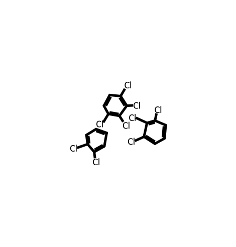 Clc1ccc(Cl)c(Cl)c1Cl.Clc1cccc(Cl)c1Cl.Clc1ccccc1Cl